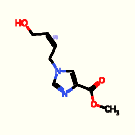 COC(=O)c1cn(C/C=C\CO)cn1